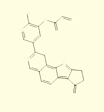 C=CC(=O)Nc1cc(C2=NC=c3ccc4c(c3C2)N=C2CCC(=O)C=42)cnc1C